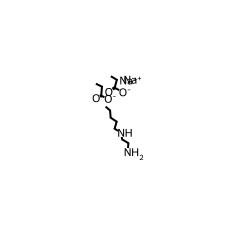 CCC(=O)[O-].CCC(=O)[O-].CCCCCNCCN.[Na+].[Na+]